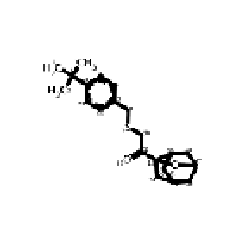 CC(C)(C)c1ccc(CSCC(=O)C23CC4CC(CC2C4)C3)cc1